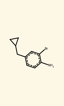 Nc1ccc(CC2CC2)cc1Br